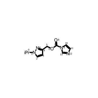 CC(C)n1ccc(COC(=O)n2ccnc2)n1